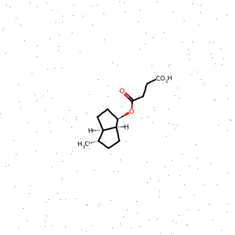 C[C@H]1CC[C@H]2[C@@H]1CC[C@H]2OC(=O)CCC(=O)O